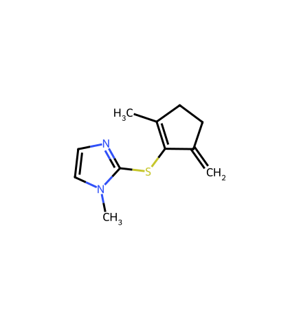 C=C1CCC(C)=C1Sc1nccn1C